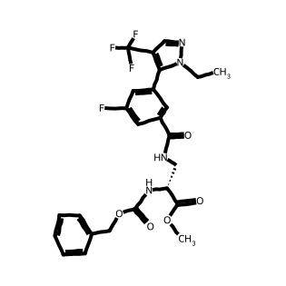 CCn1ncc(C(F)(F)F)c1-c1cc(F)cc(C(=O)NC[C@@H](NC(=O)OCc2ccccc2)C(=O)OC)c1